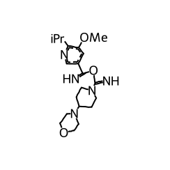 COc1cc(C(=N)OC(=N)N2CCC(N3CCOCC3)CC2)cnc1C(C)C